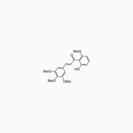 COc1cc(/C=C/C(=O)c2c(O)cccc2OC)cc(OC)c1OC